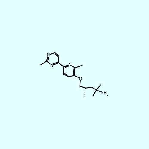 Cc1nccc(-c2ccc(OC[C@@H](C)CC(C)(C)N)c(C)n2)n1